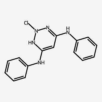 ClN1N=C(Nc2ccccc2)C=C(Nc2ccccc2)N1